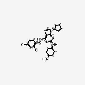 NC1CCC(Nc2nc(NCc3ccc(Cl)cc3Cl)c3ncn(C4CCCC4)c3n2)CC1